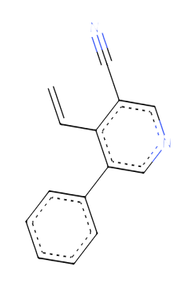 C=Cc1c(C#N)cncc1-c1ccccc1